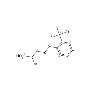 CCC(C)(C)c1ccccc1CCCC(C)S(=O)(=O)O